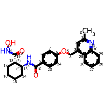 Cc1cc(COc2ccc(C(=O)N[C@H]3CCCC[C@@H]3C(=O)NO)cc2)c2ccccc2n1